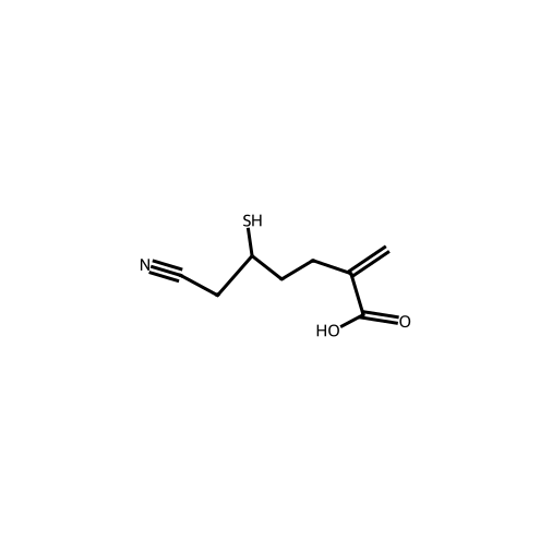 C=C(CCC(S)CC#N)C(=O)O